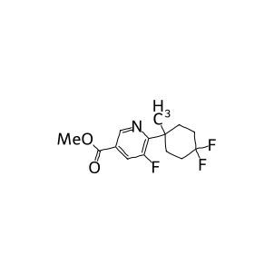 COC(=O)c1cnc(C2(C)CCC(F)(F)CC2)c(F)c1